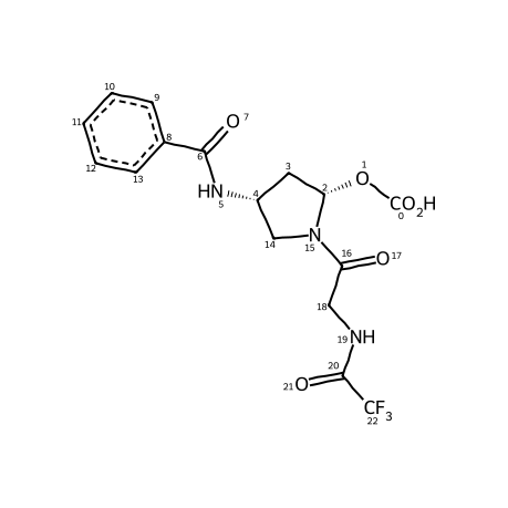 O=C(O)O[C@H]1C[C@@H](NC(=O)c2ccccc2)CN1C(=O)CNC(=O)C(F)(F)F